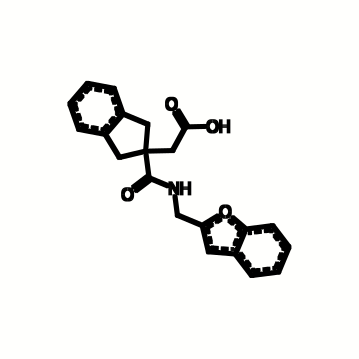 O=C(O)CC1(C(=O)NCc2cc3ccccc3o2)Cc2ccccc2C1